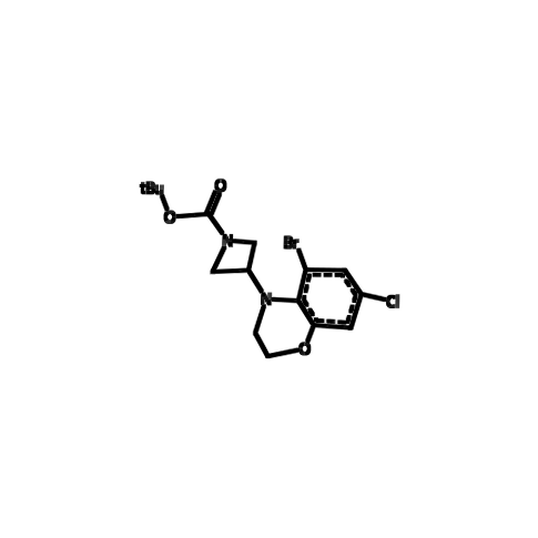 CC(C)(C)OC(=O)N1CC(N2CCOc3cc(Cl)cc(Br)c32)C1